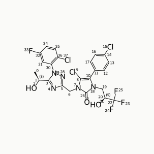 C[C@H](O)c1nc(Cn2c(Cl)c(-c3ccc(Cl)cc3)n(C[C@H](O)C(F)(F)F)c2=O)nn1-c1cc(F)ccc1Cl